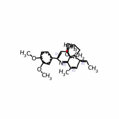 C\C=C(/C=C(C)\C(=N\C(=C/C(C)=O)c1ccc(OC)c(OC)c1)C(C)CC)N1CCNCC1